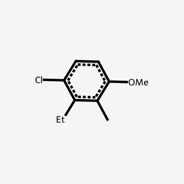 CCc1c(Cl)ccc(OC)c1C